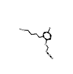 COCCCCc1cc(Br)ccc1OCN=[N+]=[N-]